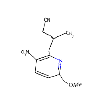 COc1ccc([N+](=O)[O-])c(C(C)CC#N)n1